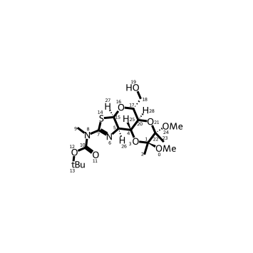 CO[C@@]1(C)O[C@@H]2[C@H]3N=C(N(C)C(=O)OC(C)(C)C)S[C@H]3O[C@H](CO)[C@H]2O[C@]1(C)OC